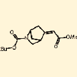 COC(=O)C=C1CC2CC1CN2C(=O)OC(C)(C)C